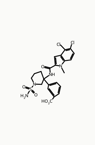 Cn1c(C(=O)NC2(c3cccc(C(=O)O)c3)CCCN(S(N)(=O)=O)C2)cc2c(Cl)c(Cl)ccc21